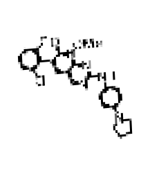 COn1c(=O)c(-c2c(Cl)cccc2Cl)cc2cnc(Nc3ccc(N4CCCC4)cc3)nc21